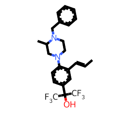 CC=Cc1cc(C(O)(C(F)(F)F)C(F)(F)F)ccc1N1CCN(Cc2ccccc2)C(C)C1